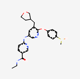 CCNC(=O)c1ccc(Nc2cnc(Oc3ccc([S+](C)[O-])cc3)c(CC3CCOC3)c2)nc1